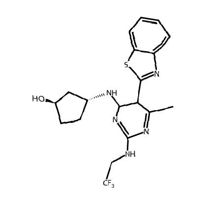 CC1=NC(NCC(F)(F)F)=NC(N[C@@H]2CC[C@@H](O)C2)C1c1nc2ccccc2s1